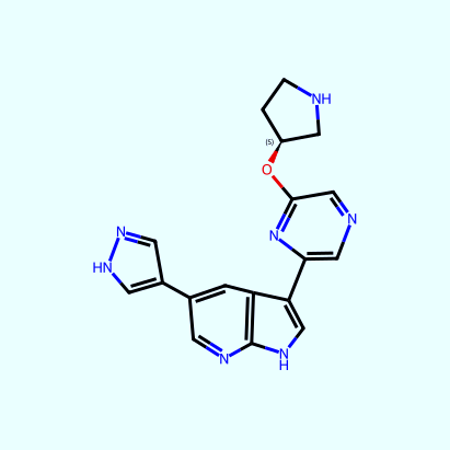 c1n[nH]cc1-c1cnc2[nH]cc(-c3cncc(O[C@H]4CCNC4)n3)c2c1